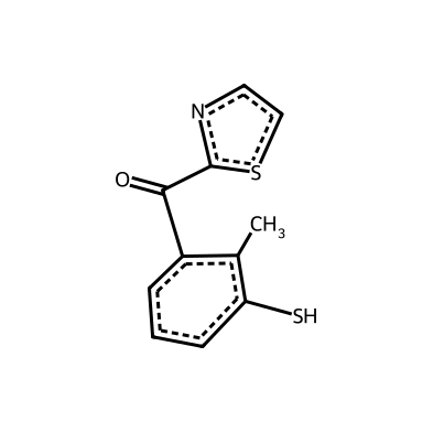 Cc1c(S)cccc1C(=O)c1nccs1